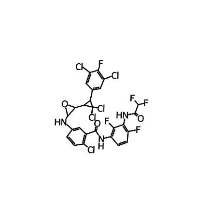 O=C(Nc1ccc(F)c(NC(=O)C(F)F)c1F)c1cc(NC2OC2C2C(c3cc(Cl)c(F)c(Cl)c3)C2(Cl)Cl)ccc1Cl